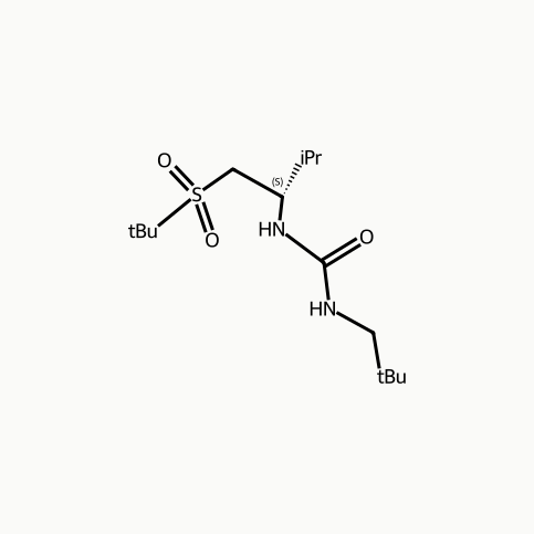 CC(C)[C@@H](CS(=O)(=O)C(C)(C)C)NC(=O)NCC(C)(C)C